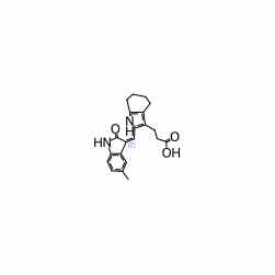 Cc1ccc2c(c1)/C(=C/c1[nH]c3c(c1CCC(=O)O)CCCC3)C(=O)N2